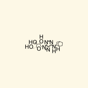 OC[C@H]1O[C@@H](n2cnc3c(NC4CC5CC[C@@H]4C5)ncnc32)[C@H](O)[C@@H]1O